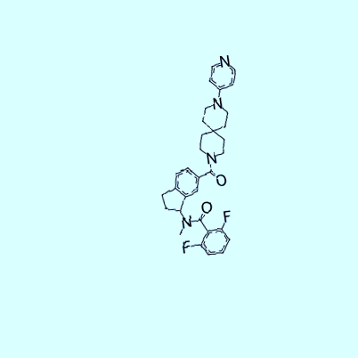 CN(C(=O)c1c(F)cccc1F)C1CCc2ccc(C(=O)N3CCC4(CC3)CCN(c3ccncc3)CC4)cc21